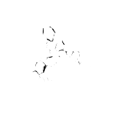 Cc1ccc(Cn2c(=O)c3c(N4CCN(C)CC4)cc(Cl)cc3n(Cc3ccccc3)c2=O)cc1C